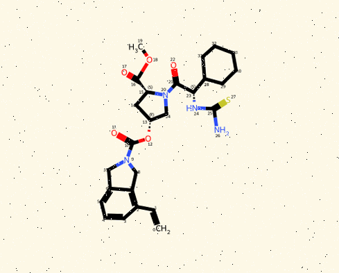 C=Cc1cccc2c1CN(C(=O)O[C@@H]1C[C@@H](C(=O)OC)N(C(=O)[C@@H](NC(N)=S)C3CCCCC3)C1)C2